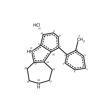 Cc1ccccc1-c1cccc2[nH]c3c(c12)CCNCC3.Cl